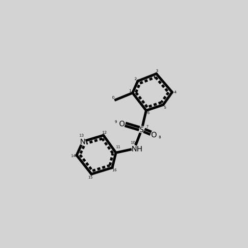 Cc1ccccc1S(=O)(=O)Nc1[c]nccc1